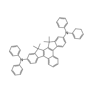 CC1(C)c2cc(N(C3=CC=CCC3)c3ccccc3)ccc2-c2c1c1c(c3ccccc23)-c2ccc(N(c3ccccc3)c3ccccc3)cc2C1(C)C